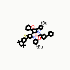 CC(C)(C)c1ccc(N2B3c4oc5ccc(-c6ccccc6)cc5c4-n4c5ccc(C(C)(C)C)cc5c5c6oc7ccccc7c6c(c3c54)-c3cc4sc5cc6c(cc5c4cc32)C(C)(C)CCC6(C)C)cc1